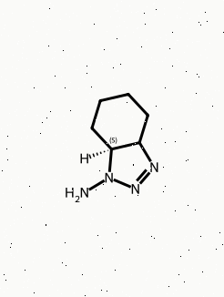 NN1N=NC2CCCC[C@@H]21